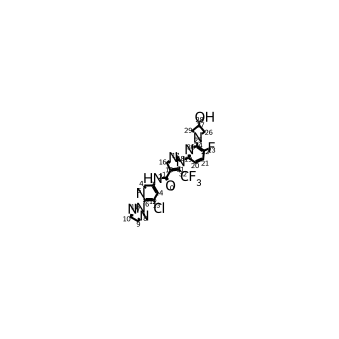 O=C(Nc1cnc(-n2nccn2)c(Cl)c1)c1cnn(-c2ccc(F)c(N3CC(O)C3)n2)c1C(F)(F)F